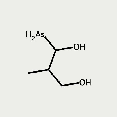 CC(CO)C(O)[AsH2]